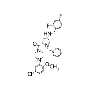 COc1ccc(Cl)cc1N1CCN(C(=O)[C@@H]2C[C@H](NCc3ccc(F)cc3F)CN2Cc2ccccc2)CC1